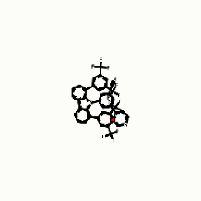 N#Cc1cc(-c2ccncc2)cc(-n2c3c(-c4cc(C(F)(F)F)cc(C(F)(F)F)c4)cccc3c3cccc(-c4cc(C(F)(F)F)cc(C(F)(F)F)c4)c32)c1